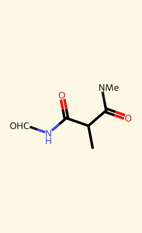 CNC(=O)C(C)C(=O)NC=O